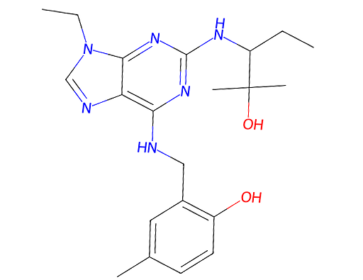 CCC(Nc1nc(NCc2cc(C)ccc2O)c2ncn(CC)c2n1)C(C)(C)O